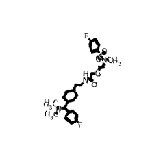 CN(C)C(c1ccc(F)cc1)C1CCC(CCNC(=O)COCCN(C)S(=O)(=O)c2ccc(F)cc2)CC1